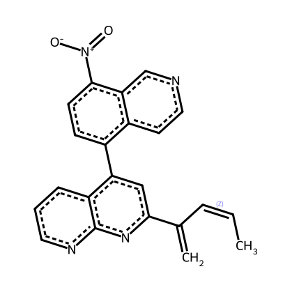 C=C(/C=C\C)c1cc(-c2ccc([N+](=O)[O-])c3cnccc23)c2cccnc2n1